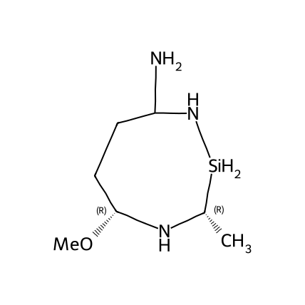 CO[C@@H]1CCC(N)N[SiH2][C@H](C)N1